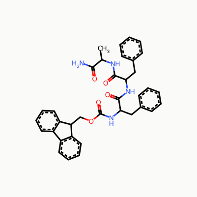 CC(NC(=O)C(Cc1ccccc1)NC(=O)C(Cc1ccccc1)NC(=O)OCC1c2ccccc2-c2ccccc21)C(N)=O